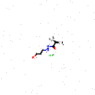 C=C(C)C(=O)NNCCCO.Cl